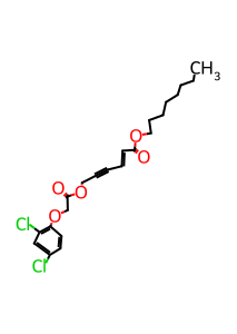 CCCCCCCCOC(=O)C=CC#CCOC(=O)COc1ccc(Cl)cc1Cl